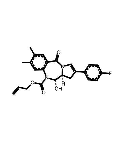 C=CCOC(=O)N1c2cc(C)c(C)cc2C(=O)N2C=C(c3ccc(F)cc3)C[C@H]2[C@@H]1O